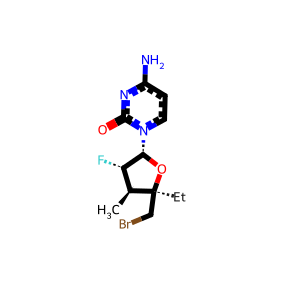 CC[C@@]1(CBr)O[C@@H](n2ccc(N)nc2=O)[C@@H](F)[C@@H]1C